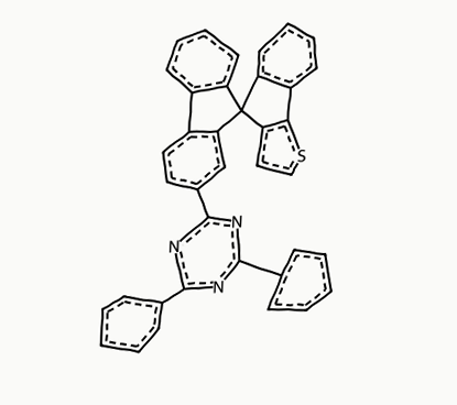 c1ccc(-c2nc(-c3ccccc3)nc(-c3ccc4c(c3)C3(c5ccccc5-4)c4ccccc4-c4sccc43)n2)cc1